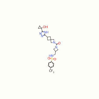 O=C(N1CC(CNS(=O)(=O)c2ccc(C(F)(F)F)cc2)C1)N1CC2(CC(c3nnc(C4(O)CC4)[nH]3)C2)C1